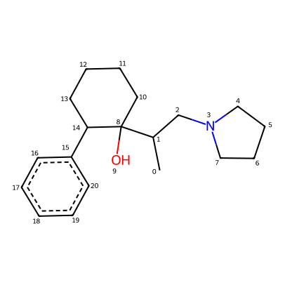 CC(CN1CCCC1)C1(O)CCCCC1c1ccccc1